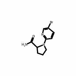 NC(=O)C1CCCN1c1ccc(Br)cn1